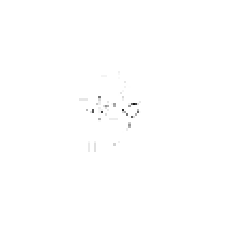 CCCCc1ccn(CCC)c1.CS(=O)(=O)O